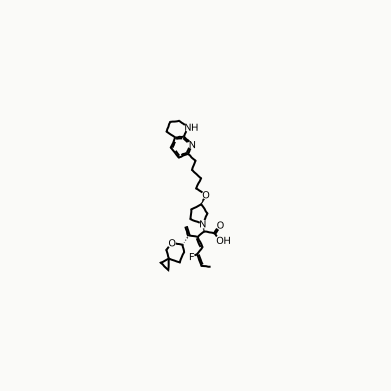 C=C(/C(=C\C(F)=C/C)[C@@H](C(=O)O)N1CC[C@@H](OCCCCc2ccc3c(n2)NCCC3)C1)[C@@H]1CCC2(CC2)CO1